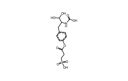 O=C(O)NC(Cc1ccc(OC(=O)CCS(=O)(=O)O)cc1)C(O)O